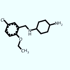 CCOc1ccc(Cl)cc1CNC1CCC(N)CC1